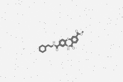 COC(=O)c1ccc2c(c1)Sc1ccc(C(=O)NCCC3CCCCC3)cc1NC2=O